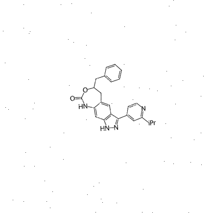 CC(C)c1cc(-c2n[nH]c3cc4c(cc23)CC(Cc2ccccc2)OC(=O)N4)ccn1